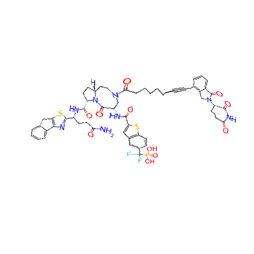 NC(=O)CCC(NC(=O)[C@@H]1CC[C@@H]2CCN(C(=O)CCCCCC#Cc3cccc4c3CN(C3CCC(=O)NC3=O)C4=O)C[C@H](NC(=O)c3cc4cc(C(F)(F)P(=O)(O)O)ccc4s3)C(=O)N21)c1nc2c(s1)Cc1ccccc1-2